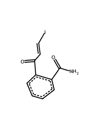 NC(=O)c1ccccc1C(=O)C=CI